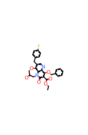 CCOC(=O)c1c(OCc2ccccc2)c2ncc(Cc3ccc(F)cc3)c3c2n(c1=O)CC(=O)CO3